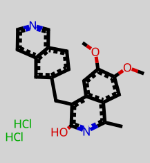 COc1cc2c(C)nc(O)c(Cc3ccc4cnccc4c3)c2cc1OC.Cl.Cl